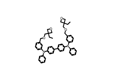 CCC1(COCc2cccc(N(c3ccccc3)c3ccc(-c4ccc(N(c5ccccc5)c5cccc(COCC6(CC)COC6)c5)cc4)cc3)c2)COC1